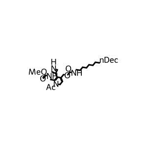 CCCCCCCCCCCCCCCCCCNC(=O)OCC1=CCN(C(C)=O)C(CNC(=O)OC)=C1C1CNC1